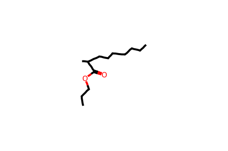 CCCCCCCC(C)C(=O)OCCC